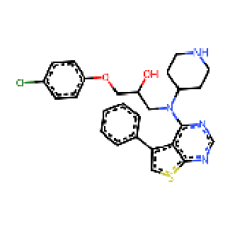 OC(COc1ccc(Cl)cc1)CN(c1ncnc2scc(-c3ccccc3)c12)C1CCNCC1